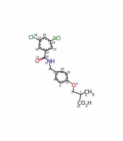 CC(COc1ccc(CNC(=O)c2cc(Cl)cc(Cl)c2)cc1)C(=O)O